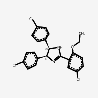 CCOc1ccc(Cl)cc1C1=N[C@@H](c2ccc(Cl)cc2)[C@@H](c2ccc(Cl)cc2)N1